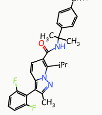 COc1ccc(C(C)(C)NC(=O)c2ccc3c(-c4c(F)cccc4F)c(C)nn3c2C(C)C)cc1